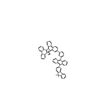 CC1(C)c2ccccc2-c2cc(-c3c4ccccc4c(-c4cccc(-c5ccc6c7ccccc7c7c(sc8c9ccccc9c9ccccc9c87)c6c5)c4)c4ccccc34)ccc21